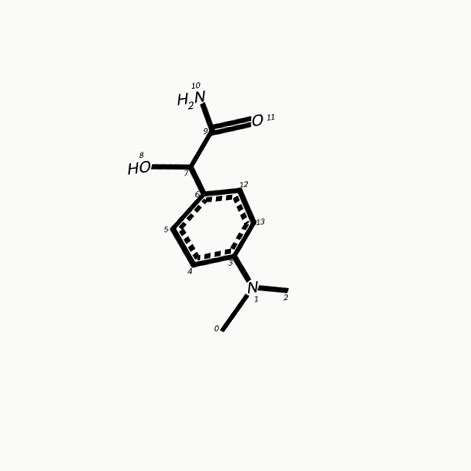 CN(C)c1ccc(C(O)C(N)=O)cc1